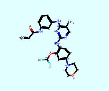 C=CC(=O)Nc1cccc(Nc2nc(Nc3ccc(N4CCOCC4)cc3OC(F)F)ncc2C)c1